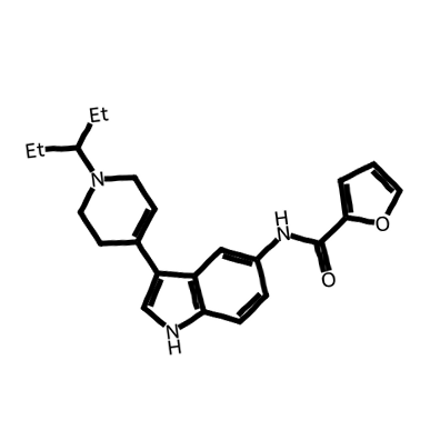 CCC(CC)N1CC=C(c2c[nH]c3ccc(NC(=O)c4ccco4)cc23)CC1